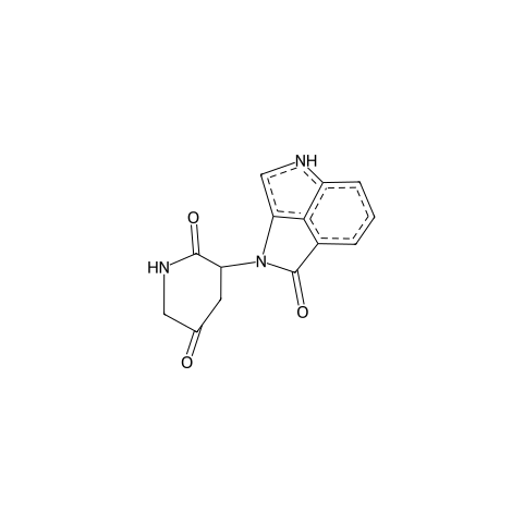 O=C1CNC(=O)C(N2C(=O)c3cccc4[nH]cc2c34)C1